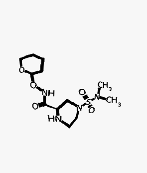 CN(C)S(=O)(=O)N1CCN[C@@H](C(=O)NOC2CCCCO2)C1